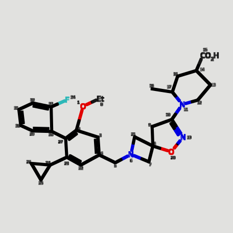 CCOc1cc(CN2CC3(CC(N4CCC(C(=O)O)CC4C)=NO3)C2)cc(C2CC2)c1-c1ccccc1F